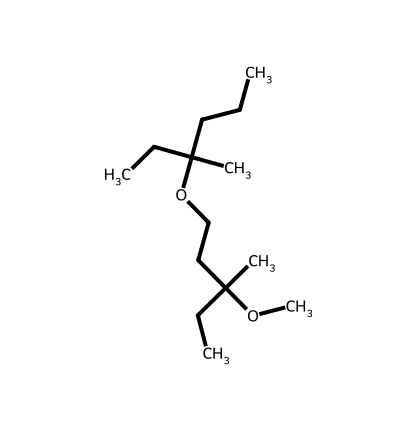 CCCC(C)(CC)OCCC(C)(CC)OC